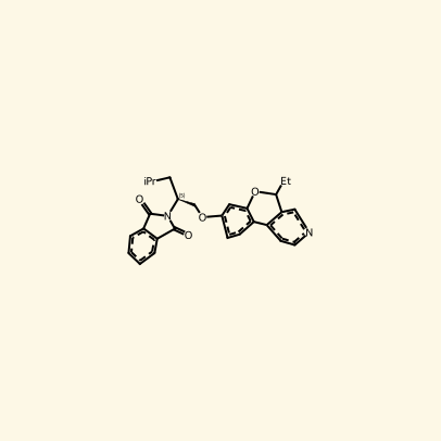 CCC1Oc2cc(OC[C@H](CC(C)C)N3C(=O)c4ccccc4C3=O)ccc2-c2ccncc21